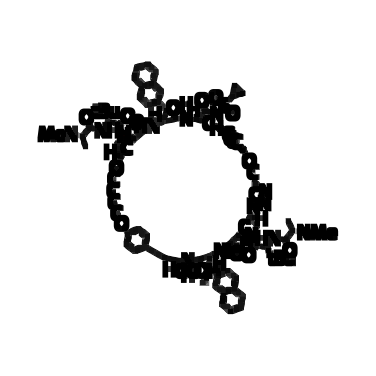 CN[C@@H](C)C(=O)N[C@H](C(=O)N1C[C@@H]2C[C@H]1C(=O)N[C@@H](Cc1ccc3ccccc3c1)C(=O)N[C@H](C(=O)O)Cc1ccc(cc1)OCCCCO[C@H]1C[C@@H](C(=O)N[C@@H](Cc3ccc4ccccc4c3)C(=O)N[C@H](C(=O)NS(=O)(=O)C3CC3)Cc3ccc(cc3)OCc3cn2nn3)N(C(=O)[C@@H](NC(=O)[C@H](C)NC)C(C)(C)C)C1)C(C)(C)C